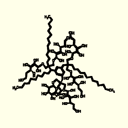 CCCCCCCCCCCCCC(CO[C@H](O)/C(O)=C(/O)[C@H](O)CCO)(CO[C@H](O)/C(O)=C(\O)[C@H](O)CCO)Cc1cc(C[C@](CCC)(CO[C@@H]2OC(CO)[C@@H](O)C(O)C2O)CO[C@H](O)/C(O)=C(\O)[C@H](O)CCO)cc(C(CCCCCCCCCC)C(CCCCCCCCCCCCC)(CO[C@H](O)/C(O)=C(/O)[C@H](O)CCO)CO[C@H](O)/C(O)=C(\O)[C@H](O)CCO)c1